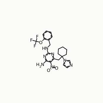 Nc1nc(NCc2ccccc2OC(F)(F)F)nc(CC2(n3ccnc3)CCCCC2)c1[N+](=O)[O-]